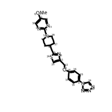 COc1cnc(N2CCC(c3nc(COc4ccc(-n5cnnn5)cc4)cs3)CC2)nc1